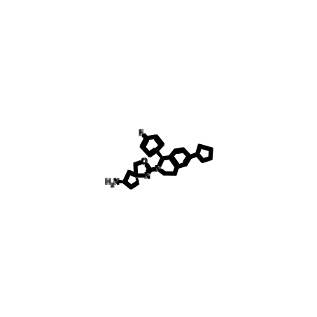 N[C@@H]1CC[C@@]2(COC(N3CCc4cc(C5CCCC5)ccc4[C@@H]3c3ccc(F)cc3)=N2)C1